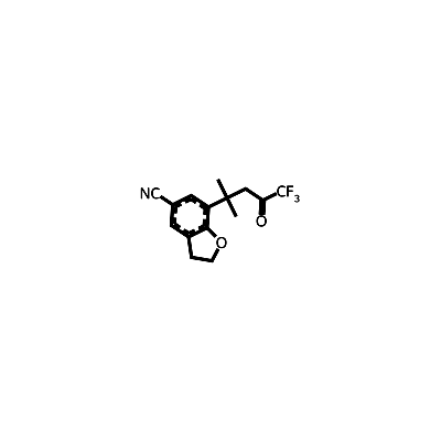 CC(C)(CC(=O)C(F)(F)F)c1cc(C#N)cc2c1OCC2